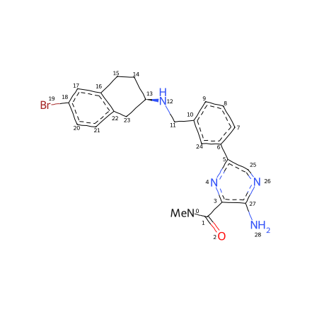 CNC(=O)c1nc(-c2cccc(CN[C@@H]3CCc4cc(Br)ccc4C3)c2)cnc1N